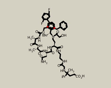 CC(C)C(C)(CCC(=O)O)NCC(=O)NCCNC(=O)[C@H](CCN(C(=O)CO)[C@@H](c1cc(-c2cc(F)ccc2F)cn1Cc1ccccc1)C(C)(C)C)NC(=O)[C@H](CC(N)=O)NC(=O)[C@H](C)NC(=O)[C@H](C)NC(=O)OCc1ccccc1